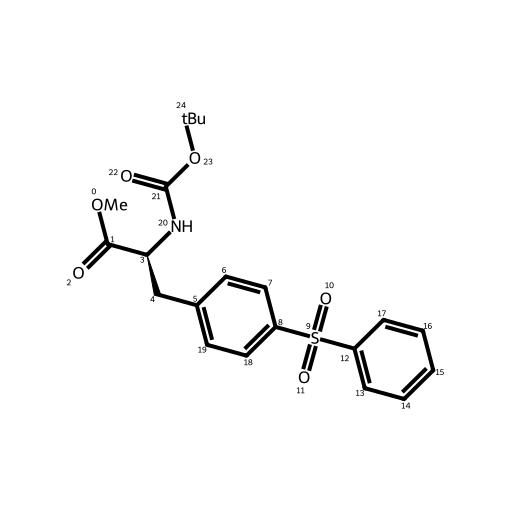 COC(=O)[C@H](Cc1ccc(S(=O)(=O)c2ccccc2)cc1)NC(=O)OC(C)(C)C